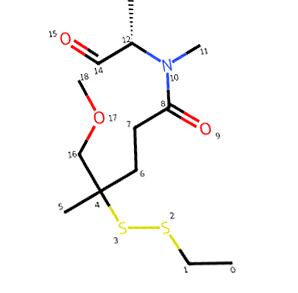 CCSSC(C)(CCC(=O)N(C)[C@@H](C)C=O)COC